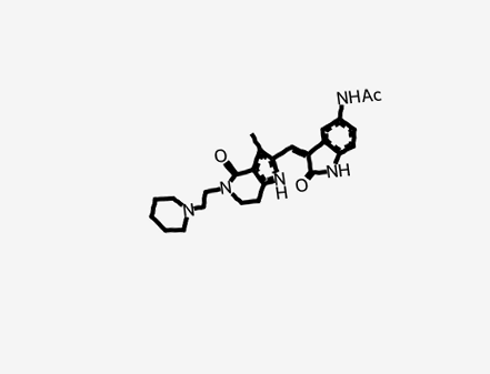 CC(=O)Nc1ccc2c(c1)/C(=C/c1[nH]c3c(c1C)C(=O)N(CCN1CCCCC1)CC3)C(=O)N2